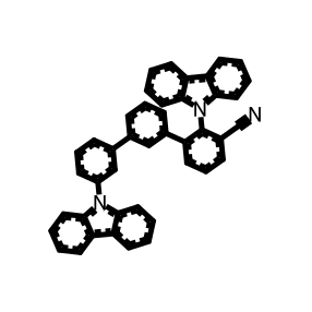 N#Cc1cccc(-c2cccc(-c3cccc(-n4c5ccccc5c5ccccc54)c3)c2)c1-n1c2ccccc2c2ccccc21